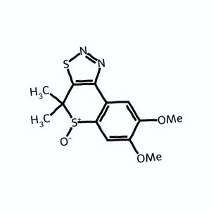 COc1cc2c(cc1OC)[S+]([O-])C(C)(C)c1snnc1-2